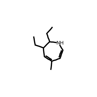 CCC1C=C(C)C=CNC1CC